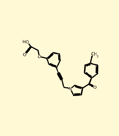 Cc1ccc(C(=O)c2ccn(CC#Cc3cccc(OCC(=O)O)c3)c2)cc1